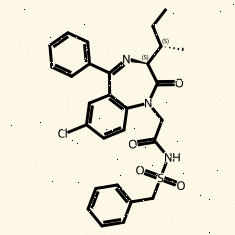 CC[C@H](C)[C@@H]1N=C(c2ccccc2)c2cc(Cl)ccc2N(CC(=O)NS(=O)(=O)Cc2ccccc2)C1=O